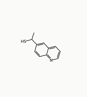 CC(S)c1ccc2ncccc2c1